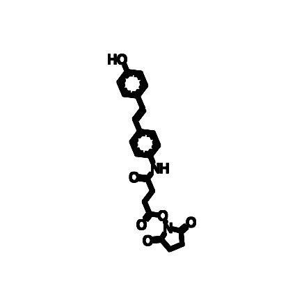 O=C(CCC(=O)ON1C(=O)CCC1=O)Nc1ccc(/C=C/c2ccc(O)cc2)cc1